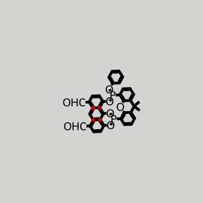 CC1(C)c2cccc(P(Oc3ccccc3)Oc3ccc(C=O)cc3)c2Oc2c(P(Oc3ccccc3)Oc3ccc(C=O)cc3)cccc21